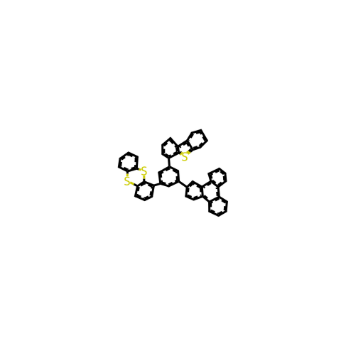 c1ccc2c(c1)Sc1cccc(-c3cc(-c4ccc5c6ccccc6c6ccccc6c5c4)cc(-c4cccc5c4sc4ccccc45)c3)c1S2